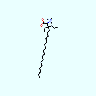 CCCCCCCCCCCCCCCCCC(CC)(CCC)C(C(=O)[O-])[N+](C)(C)C